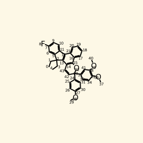 CCC1(CC)c2cc(F)ccc2-c2c1c1c(c3ccccc23)OC(c2ccc(OC)cc2)(c2ccc(OC)c(OC)c2)C=C1